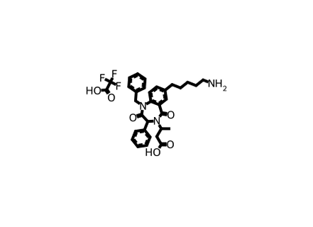 CC(CC(=O)O)N1C(=O)c2cc(CCCCCN)ccc2N(Cc2ccccc2)C(=O)C1c1ccccc1.O=C(O)C(F)(F)F